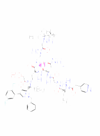 CC(C)C(C)(C)NCC(=O)NCCNC(=O)[C@H](CCN(C(=O)CO)[C@@H](c1cc(-c2cc(F)ccc2F)cn1Cc1ccccc1)C(C)(C)C)NC(=O)[C@H](CC(N)=O)NC(=O)CNC(=O)[C@@H](C)NC(=O)Cc1ccncc1